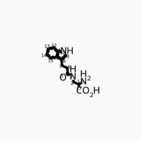 NC(CNC(=O)CCc1c[nH]c2ccccc12)C(=O)O